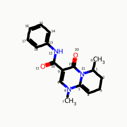 CC1CCC=C2N(C)C=C(C(=O)Nc3ccccc3)C(=O)N21